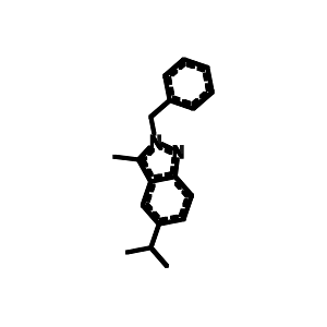 Cc1c2cc(C(C)C)ccc2nn1Cc1ccccc1